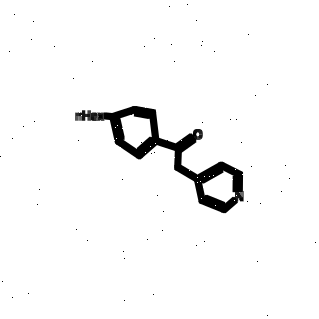 CCCCCCc1ccc(C(=O)Cc2ccncc2)cc1